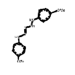 COc1ccc(NP=NPNc2ccc(OC)cc2)cc1